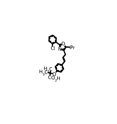 CC(C)c1oc(-c2ccccc2Cl)nc1CC=Cc1ccc(OC(C)(C)C(=O)O)cc1